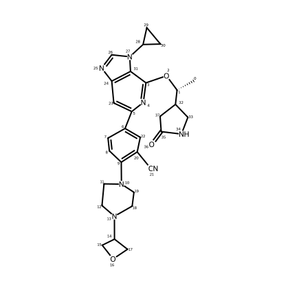 C[C@@H](Oc1nc(-c2ccc(N3CCN(C4COC4)CC3)c(C#N)c2)cc2ncn(C3CC3)c12)C1CNC(=O)C1